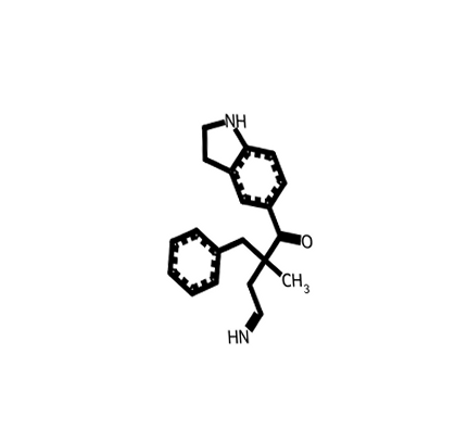 CC(CC=N)(Cc1ccccc1)C(=O)c1ccc2c(c1)CCN2